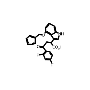 O=C(CC(C(=O)O)c1c[nH]c2cccc(OCc3ccccc3)c12)c1ccc(F)cc1F